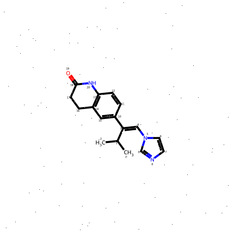 CC(C)C(=Cn1ccnc1)c1ccc2c(c1)CCC(=O)N2